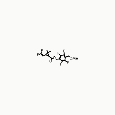 COCc1c(F)c(F)c(COC(=O)C2C(C=C(F)F)C2(C)C)c(F)c1F